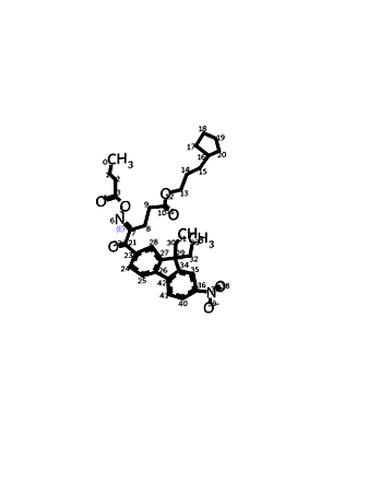 CCCC(=O)O/N=C(\CCC(=O)OCCCC1CCCC1)C(=O)c1ccc2c(c1)C(CC)(CC)c1cc([N+](=O)[O-])ccc1-2